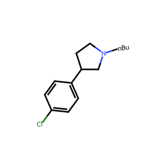 CCCCN1C[CH]C(c2ccc(Cl)cc2)C1